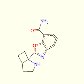 NC(=O)c1cccc2nc(C34CCC3CCN4)oc12